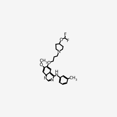 COc1cc2ncnc(Nc3cccc(C)c3)c2cc1OCCCN1CCC(OC(F)F)CC1